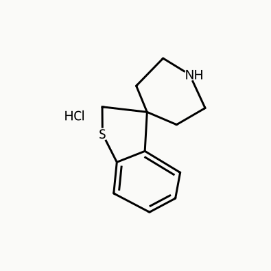 Cl.c1ccc2c(c1)SCC21CCNCC1